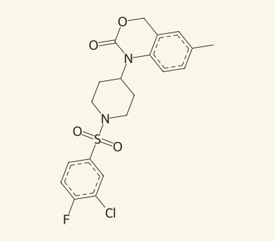 Cc1ccc2c(c1)COC(=O)N2C1CCN(S(=O)(=O)c2ccc(F)c(Cl)c2)CC1